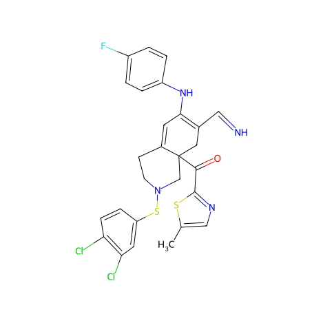 Cc1cnc(C(=O)C23CC(C=N)=C(Nc4ccc(F)cc4)C=C2CCN(Sc2ccc(Cl)c(Cl)c2)C3)s1